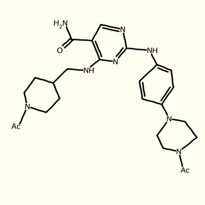 CC(=O)N1CCC(CNc2nc(Nc3ccc(N4CCN(C(C)=O)CC4)cc3)ncc2C(N)=O)CC1